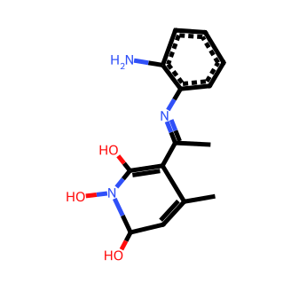 CC1=CC(O)N(O)C(O)=C1/C(C)=N/c1ccccc1N